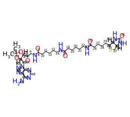 CC1(C)O[C@@H]2[C@@H](CNC(=O)CCCCCNC(=O)CCCCCNC(=O)CCCC[C@@H]3SC[C@@H]4NC(=O)N[C@@H]43)OC(n3nnc4c(N)ncnc43)[C@@H]2O1